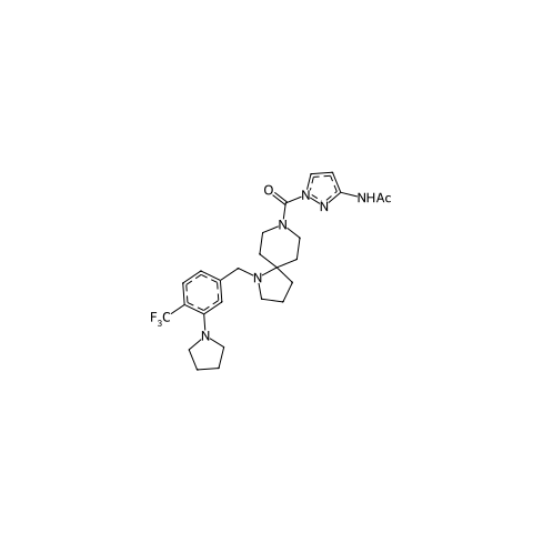 CC(=O)Nc1ccn(C(=O)N2CCC3(CCCN3Cc3ccc(C(F)(F)F)c(N4CCCC4)c3)CC2)n1